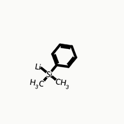 [Li][Si](C)(C)c1ccccc1